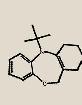 CC(C)(C)N1C2=C(CCCC2)COc2ccccc21